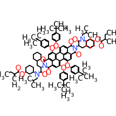 C=C(CC)C(=O)OC1CCCC(N(CC(C)C)C(=O)C(CC2CCCCC2)N2C(=O)c3cc(Oc4ccc(C(C)(C)C)cc4)c4c5c(Oc6ccc(C(C)(C)C)cc6)cc6c7c(cc(Oc8ccc(C(C)(C)C)cc8)c(c8c(Oc9ccc(C(C)(C)C)cc9)cc(c3c48)C2=O)c75)C(=O)N(C(CC2CCCCC2)C(=O)N(CC(C)C)C2CCCC(OC(=O)C(C)CC)C2)C6=O)C1